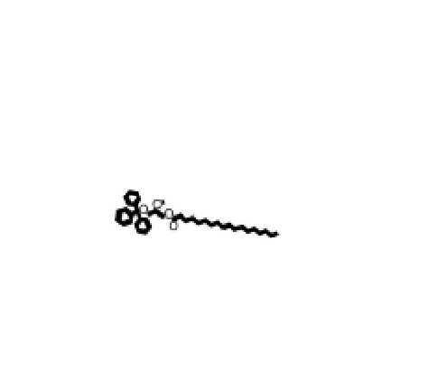 CCCCCCCCC=CCCCCCCCC(=O)OCC(COC(c1ccccc1)(c1ccccc1)c1ccccc1)OC